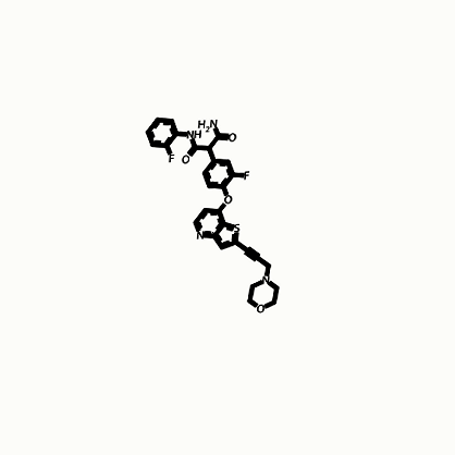 NC(=O)C(C(=O)Nc1ccccc1F)c1ccc(Oc2ccnc3cc(C#CCN4CCOCC4)sc23)c(F)c1